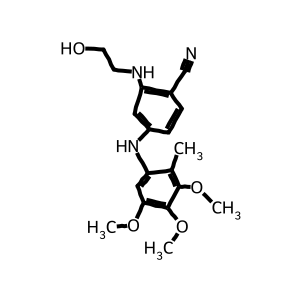 COc1cc(Nc2ccc(C#N)c(NCCO)c2)c(C)c(OC)c1OC